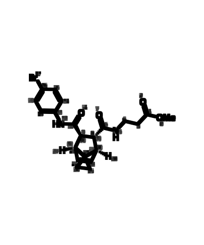 COC(=O)CCNC(=O)[C@H]1[C@H](C(=O)Nc2ccc(Br)cc2)[C@@H]2C=C[C@H]1C21CC1